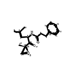 CC(C)CC(NC(=O)CCc1ccccc1)C(=O)[C@@]1(C)CO1